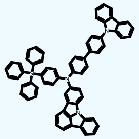 c1ccc([Si](c2ccccc2)(c2ccccc2)c2ccc(N(c3ccc(-c4ccc(-n5c6ccccc6c6ccccc65)cc4)cc3)c3ccc4c(c3)c3cccc5c6ccccc6n4c53)cc2)cc1